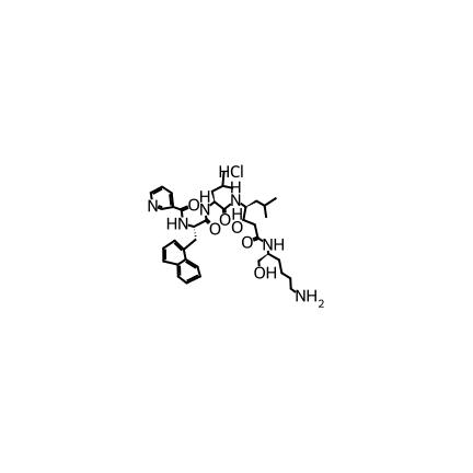 CC(C)C[C@H](NC(=O)[C@H](Cc1cccc2ccccc12)NC(=O)c1cccnc1)C(=O)N[C@@H](CC(C)C)[C@@H](O)CC(=O)N[C@H](CO)CCCCN.Cl